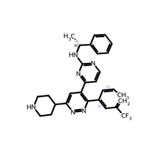 C=C(/C=C(\C=C/C)c1nnc(C2CCNCC2)cc1-c1ccnc(N[C@H](C)c2ccccc2)n1)C(F)(F)F